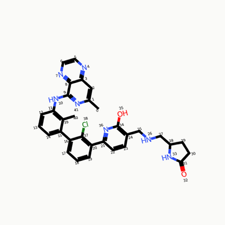 Cc1cc2nccnc2c(Nc2cccc(-c3cccc(-c4ccc(CNCC5CCC(=O)N5)c(O)n4)c3Cl)c2C)n1